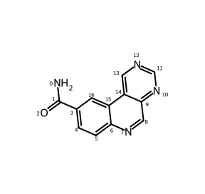 NC(=O)c1ccc2ncc3ncncc3c2c1